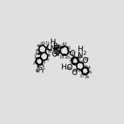 CC(C)c1ccc2c(c1)CCC1C(C)(CNS(=O)(=O)C3(C)C=CC(Oc4cc(O)c5c(c4N)C(=O)c4ccccc4C5=O)=CC=C3Br)CCCC21C